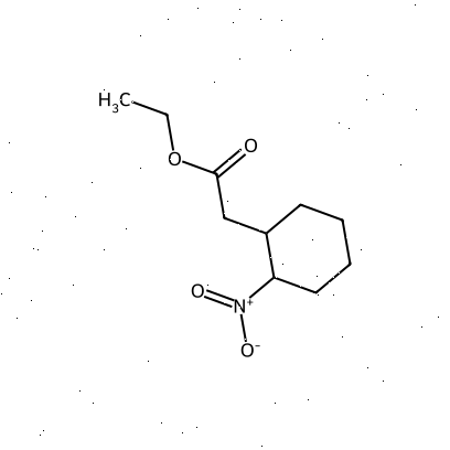 CCOC(=O)CC1CCCCC1[N+](=O)[O-]